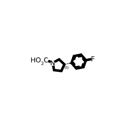 O=C(O)N1CC[C@@H](c2ccc(F)cc2)C1